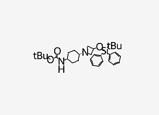 CC(C)(C)OC(=O)N[C@H]1CC[C@H](N2CC(O[Si](c3ccccc3)(c3ccccc3)C(C)(C)C)C2)CC1